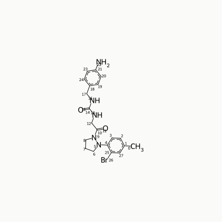 Cc1ccc(N2CCCN2C(=O)CNC(=O)NCc2ccc(N)cc2)c(Br)c1